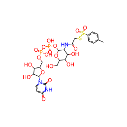 Cc1ccc(S(=O)(=O)SCC(=O)NC2C(OP(=O)(O)OP(=O)(O)OCC3OC(n4ccc(=O)[nH]c4=O)C(O)C3O)OC(CO)C(O)C2O)cc1